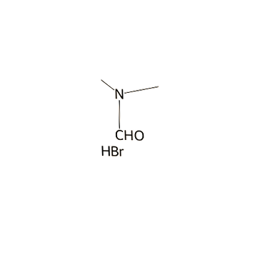 Br.CN(C)C=O